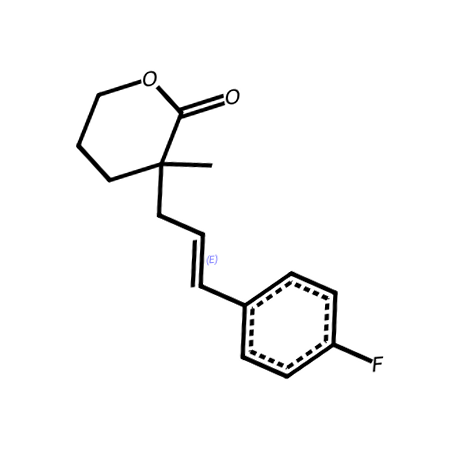 CC1(C/C=C/c2ccc(F)cc2)CCCOC1=O